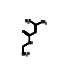 C/C(N)=C/C(=O)NCC(=O)O